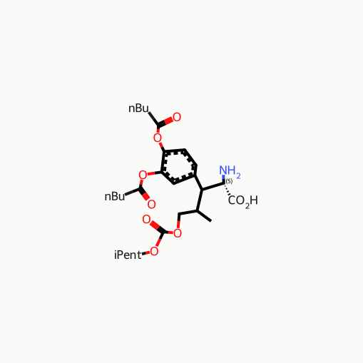 CCCCC(=O)Oc1ccc(C(C(C)COC(=O)OC(C)CCC)[C@H](N)C(=O)O)cc1OC(=O)CCCC